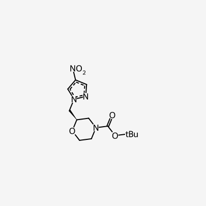 CC(C)(C)OC(=O)N1CCO[C@@H](Cn2cc([N+](=O)[O-])cn2)C1